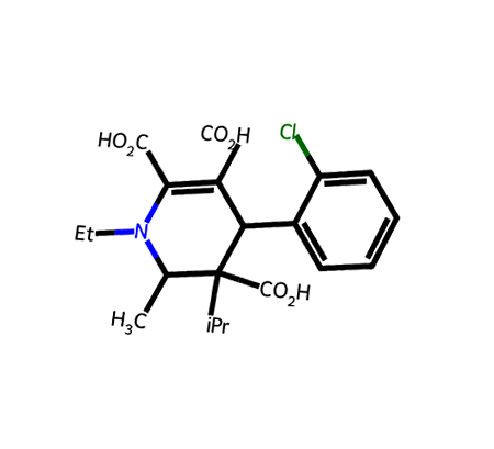 CCN1C(C(=O)O)=C(C(=O)O)C(c2ccccc2Cl)C(C(=O)O)(C(C)C)C1C